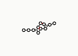 c1ccc(-c2ccc(-c3ccc(N(c4ccc(-c5ccccc5)cc4)c4ccccc4-c4cccc(-c5cccc6c5c5ccccc5n6-c5ccc(-c6ccccc6)cc5)c4)cc3)cc2)cc1